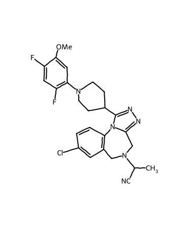 COc1cc(N2CCC(c3nnc4n3-c3ccc(Cl)cc3CN(C(C)C#N)C4)CC2)c(F)cc1F